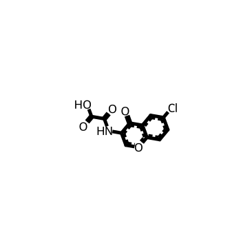 O=C(O)C(=O)Nc1coc2ccc(Cl)cc2c1=O